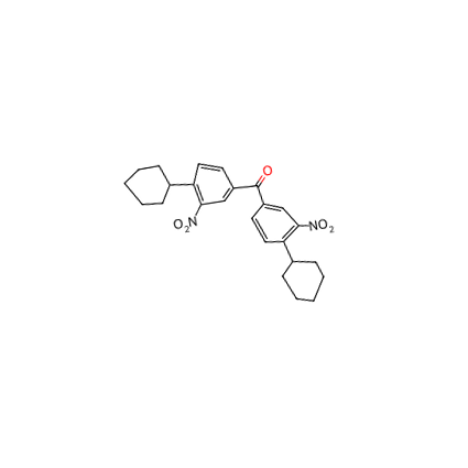 O=C(c1ccc(C2CCCCC2)c([N+](=O)[O-])c1)c1ccc(C2CCCCC2)c([N+](=O)[O-])c1